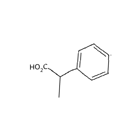 CC(C(=O)O)c1cc[c]cc1